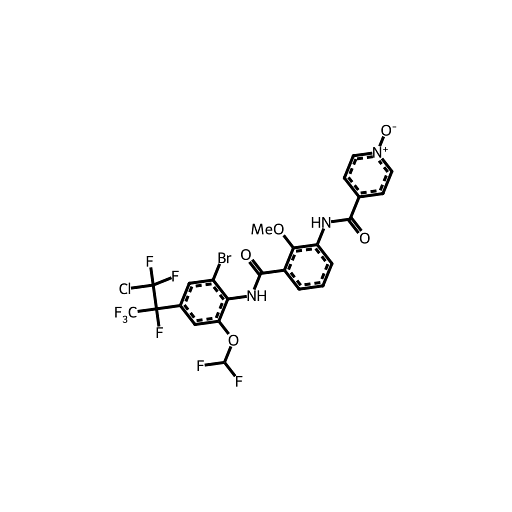 COc1c(NC(=O)c2cc[n+]([O-])cc2)cccc1C(=O)Nc1c(Br)cc(C(F)(C(F)(F)F)C(F)(F)Cl)cc1OC(F)F